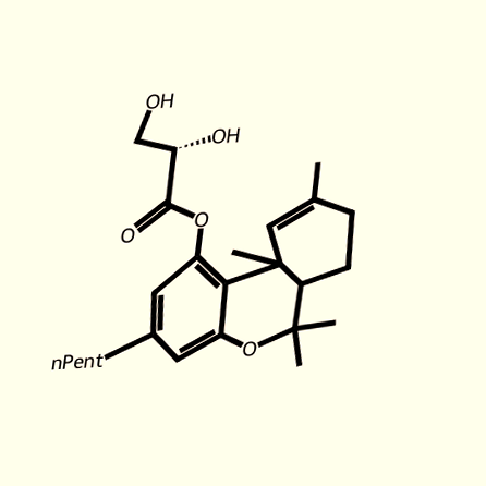 CCCCCc1cc(OC(=O)[C@@H](O)CO)c2c(c1)OC(C)(C)C1CCC(C)=CC21C